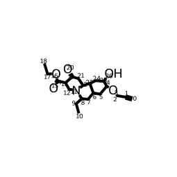 C#CCOC1CC2CC(CC)N3CC(C(=O)OCC)C(=O)CC3C2CC1O